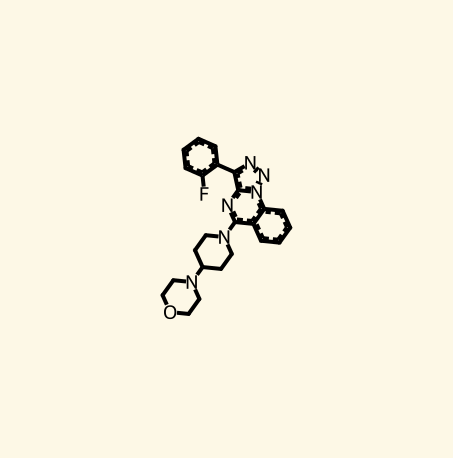 Fc1ccccc1-c1nnn2c1nc(N1CCC(N3CCOCC3)CC1)c1ccccc12